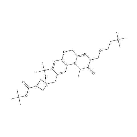 CC1C(=O)N(COCC[Si](C)(C)C)N=C2COc3cc(C(F)(F)F)c(CC4CN(C(=O)OC(C)(C)C)C4)cc3N21